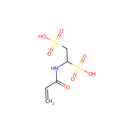 C=CC(=O)NC(CS(=O)(=O)O)S(=O)(=O)O